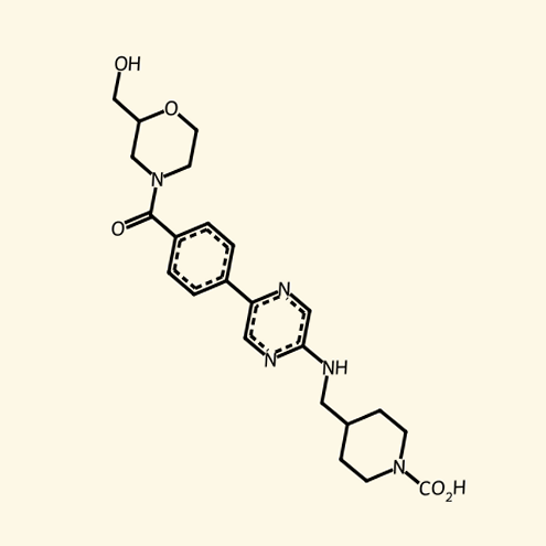 O=C(O)N1CCC(CNc2cnc(-c3ccc(C(=O)N4CCOC(CO)C4)cc3)cn2)CC1